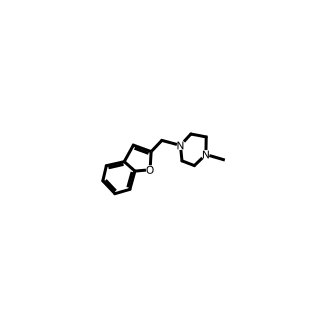 CN1CCN(Cc2cc3ccccc3o2)CC1